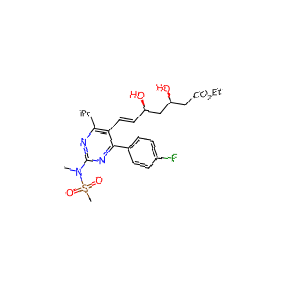 CCOC(=O)C[C@H](O)C[C@H](O)/C=C/c1c(-c2ccc(F)cc2)nc(N(C)S(C)(=O)=O)nc1C(C)C